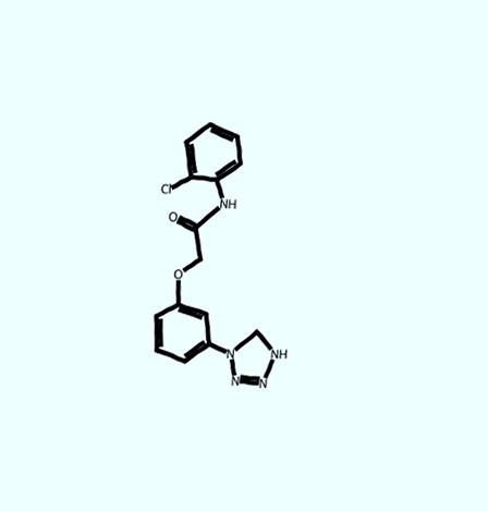 O=C(COc1cccc(N2CNN=N2)c1)Nc1ccccc1Cl